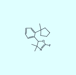 CC1(c2ccccc2C2OC(F)=NC2(C)C)CCCC1